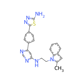 Cc1cc2ccccc2n1CCNc1cc(-c2ccc(-c3nnc(N)s3)cc2)ncn1